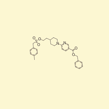 Cc1ccc(CS(=O)(=O)OCCC2CCN(c3ccc(C(=O)OCc4ccccc4)cn3)CC2)cc1